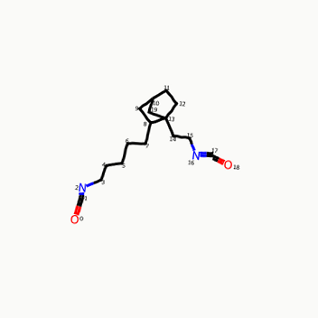 O=C=NCCCCCC1CC2CCC1(CCN=C=O)C2